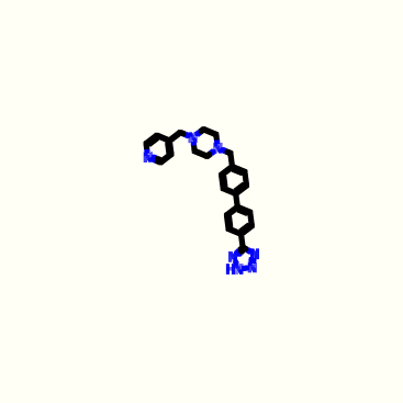 c1cc(CN2CCN(Cc3ccc(-c4ccc(-c5nn[nH]n5)cc4)cc3)CC2)ccn1